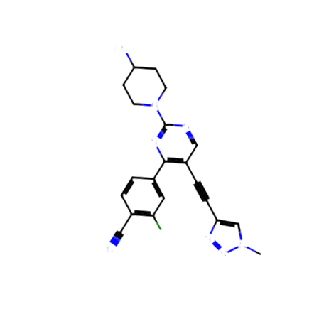 Cn1cc(C#Cc2cnc(N3CCC(N)CC3)nc2-c2ccc(C#N)c(F)c2)nn1